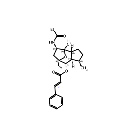 CCC(=O)N[C@@H]1C[C@]2(C(C)C)O[C@@]1(C)[C@@H]1CC[C@@H](C)[C@H]1[C@@H]2OC(=O)/C=C/c1ccccc1